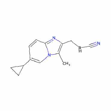 Cc1c(CBC#N)nc2ccc(C3CC3)cn12